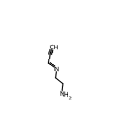 C#CC=NCCN